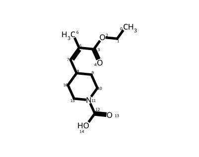 CCOC(=O)C(C)=CC1CCN(C(=O)O)CC1